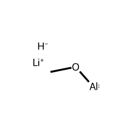 C[O][Al].[H-].[Li+]